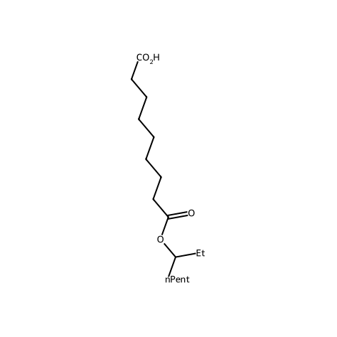 CCCCCC(CC)OC(=O)CCCCCCCC(=O)O